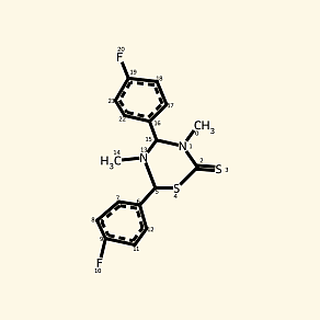 CN1C(=S)SC(c2ccc(F)cc2)N(C)C1c1ccc(F)cc1